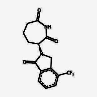 O=C1CCC[C@H](N2Cc3c(cccc3C(F)(F)F)C2=O)C(=O)N1